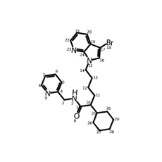 O=C(NCc1ccccn1)C(CCCCn1cc(Br)c2cccnc21)C1CCCCC1